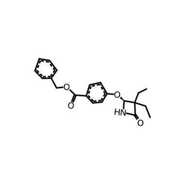 CCC1(CC)C(=O)N[C@H]1Oc1ccc(C(=O)OCc2ccccc2)cc1